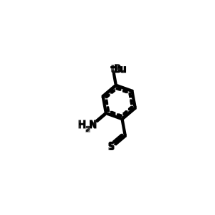 CC(C)(C)c1ccc(C=S)c(N)c1